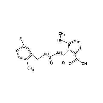 CNc1cccc(C(=O)O)c1C(=O)NC(=O)NCc1cc(F)ccc1C